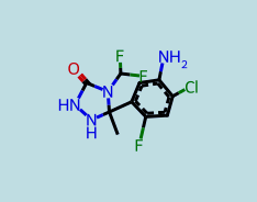 CC1(c2cc(N)c(Cl)cc2F)NNC(=O)N1C(F)F